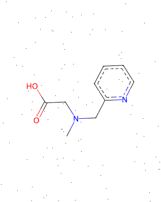 CN(CC(=O)O)Cc1ccccn1